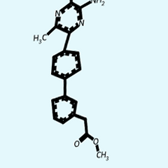 COC(=O)Cc1cccc(-c2ccc(-c3nc(N)c(C)nc3C)cc2)c1